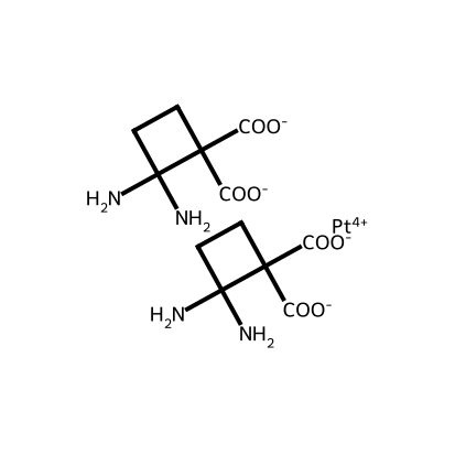 NC1(N)CCC1(C(=O)[O-])C(=O)[O-].NC1(N)CCC1(C(=O)[O-])C(=O)[O-].[Pt+4]